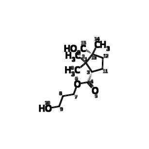 CC1(C)[C@@H](C(=O)OCCCO)CC[C@@]1(C)C(=O)O